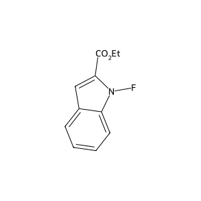 CCOC(=O)c1cc2ccccc2n1F